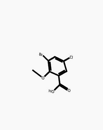 COc1c(Br)cc(Cl)cc1C(=O)O